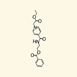 CCOC(=O)C[n+]1ccc(C(=O)NCCOC(=O)c2ccccc2)cc1